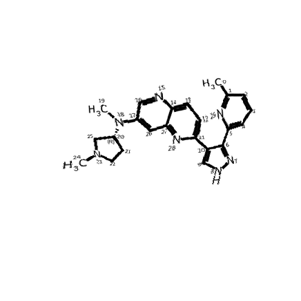 Cc1cccc(-c2n[nH]cc2-c2ccc3ncc(N(C)[C@@H]4CCN(C)C4)cc3n2)n1